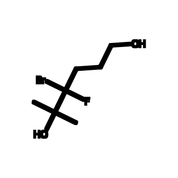 CC(C)(O)C(F)(Br)CCCO